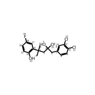 CC(C)(CC(O)(Cc1ccc(Cl)c(Cl)c1)C(F)(F)F)c1cc(F)ccc1O